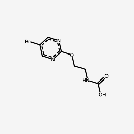 O=C(O)NCCOc1ncc(Br)cn1